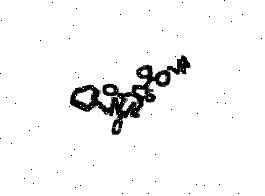 Cn1c(=O)n(Cc2ccccc2)c(=O)c2cc(C(=O)OCCN3CC3)sc21